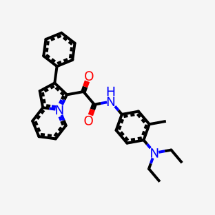 CCN(CC)c1ccc(NC(=O)C(=O)c2c(-c3ccccc3)cc3ccccn23)cc1C